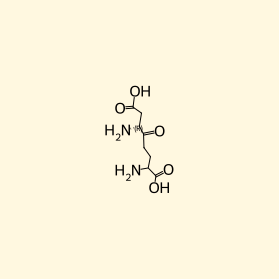 NC(CCC(=O)[C@H](N)CC(=O)O)C(=O)O